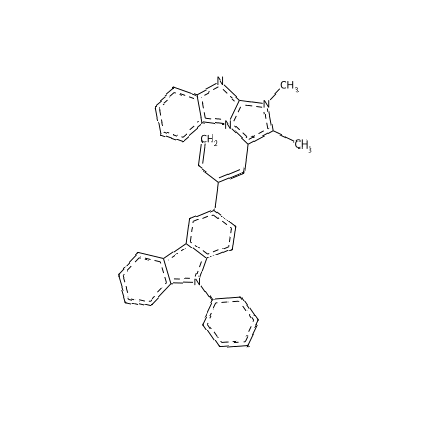 C=C/C(=C\c1c(C)n(C)c2nc3ccccc3n12)c1ccc2c(c1)c1ccccc1n2-c1ccccc1